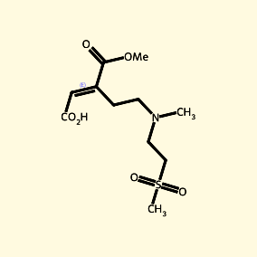 COC(=O)/C(=C/C(=O)O)CCN(C)CCS(C)(=O)=O